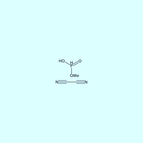 CO[PH](=O)O.N#CC#N